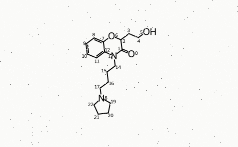 O=C1C(CCO)Oc2ccccc2N1CCCCN1CCCC1